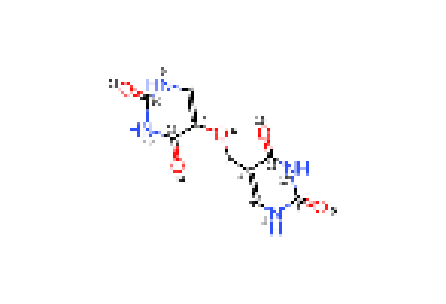 O=c1[nH]cc(COc2c[nH]c(=O)[nH]c2=O)c(=O)[nH]1